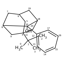 CC(C)(C)C12CC3CC(C1)C(O)(c1ccccc1)C(C3)C2